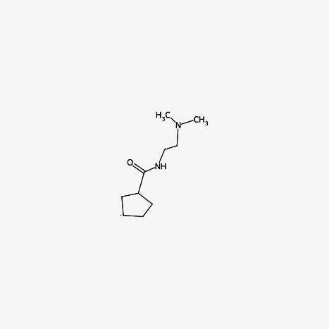 CN(C)CCNC(=O)C1C[CH]CC1